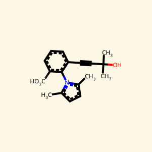 Cc1ccc(C)n1-c1c(C#CC(C)(C)O)cccc1C(=O)O